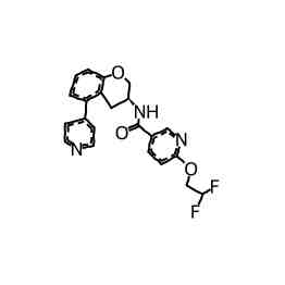 O=C(N[C@@H]1COc2cccc(-c3ccncc3)c2C1)c1ccc(OCC(F)F)nc1